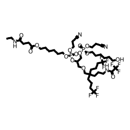 CCNC(=O)CCC(=O)OCCCCCCOP(=O)(OCCC#N)OC(COCC(CCCNC(=O)C(F)(F)F)(CCCC(F)(F)F)CCCC(F)(F)F)COP(=O)(OCCC#N)OCCCCCCO